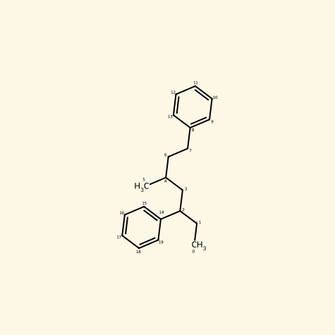 C[CH]C(CC(C)CCc1ccccc1)c1ccccc1